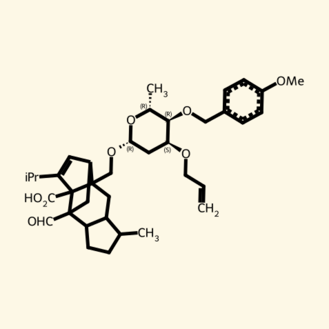 C=CCO[C@H]1C[C@H](OCC23CC4C(C)CCC4C4(C=O)CC2C=C(C(C)C)C43C(=O)O)O[C@H](C)[C@H]1OCc1ccc(OC)cc1